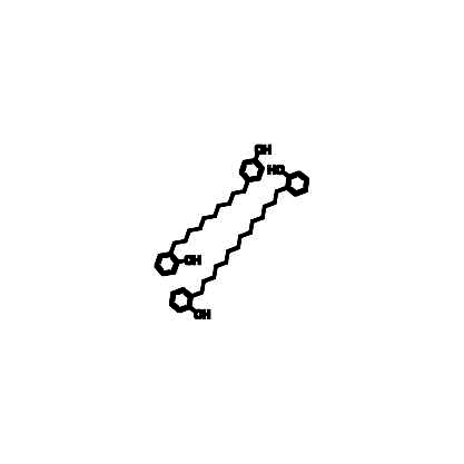 Oc1ccc(CCCCCCCCCCc2ccccc2O)cc1.Oc1ccccc1CCCCCCCCCCCCCCc1ccccc1O